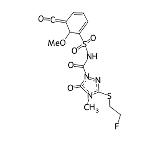 COC1C(=C=O)C=CC=C1S(=O)(=O)NC(=O)n1nc(SCCF)n(C)c1=O